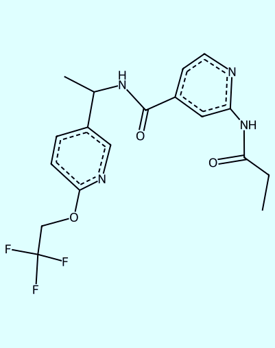 CCC(=O)Nc1cc(C(=O)NC(C)c2ccc(OCC(F)(F)F)nc2)ccn1